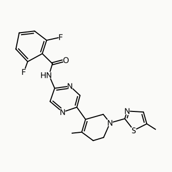 CC1=C(c2cnc(NC(=O)c3c(F)cccc3F)cn2)CN(c2ncc(C)s2)CC1